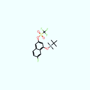 CC(C)(C)[Si](C)(C)Oc1cc(OS(=O)(=O)C(F)(F)F)cc2ccc(F)cc12